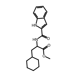 COC(=O)C(CC1CCCCC1)NC(=O)c1cc2ccccc2[nH]1